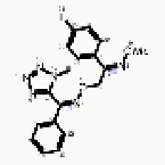 CO/N=C(/CO/N=C(/c1ccccc1)c1nnnn1C)c1ccc(F)cc1